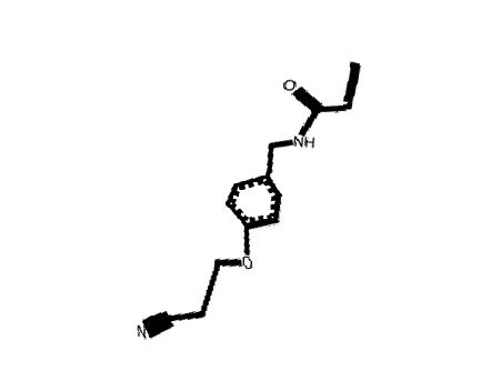 C=CC(=O)NCc1ccc(OCCC#N)cc1